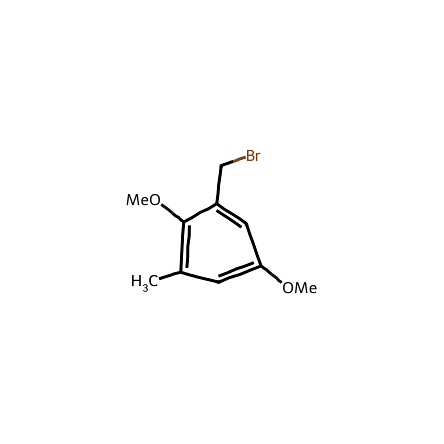 COc1cc(C)c(OC)c(CBr)c1